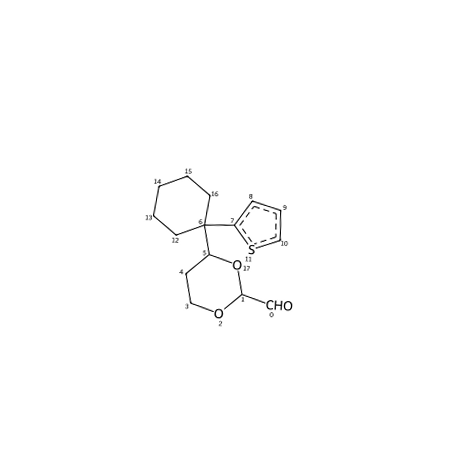 O=CC1OCCC(C2(c3cccs3)CCCCC2)O1